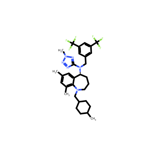 Cc1cc(C)c2c(c1)[C@@H](N(Cc1cc(C(F)(F)F)cc(C(F)(F)F)c1)c1nnn(C)n1)CCCN2CC1CCC(C)CC1